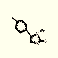 CCCn1c(-c2ccc(C)cc2)csc1=S